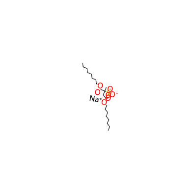 CCCCCCCCOC(=O)CC(C)(C(=O)OCCCCCCCC)S(=O)(=O)[O-].[Na+]